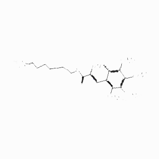 CCCCCCCCC/C(=C\c1c(C)c(OC)c(OC)c(OC)c1OC)C(=O)NCCCCCCN